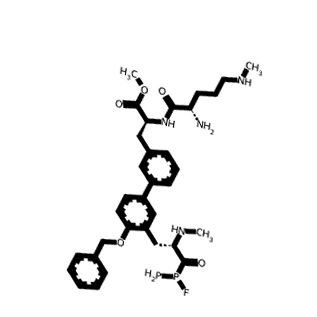 CNCCC[C@H](N)C(=O)N[C@@H](Cc1cccc(-c2ccc(OCc3ccccc3)c(C[C@H](NC)C(=O)P(F)P)c2)c1)C(=O)OC